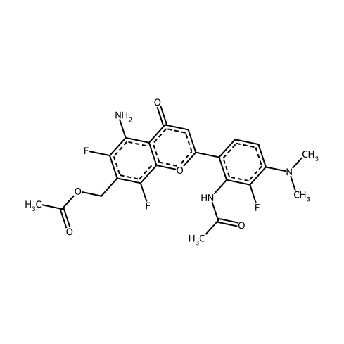 CC(=O)Nc1c(-c2cc(=O)c3c(N)c(F)c(COC(C)=O)c(F)c3o2)ccc(N(C)C)c1F